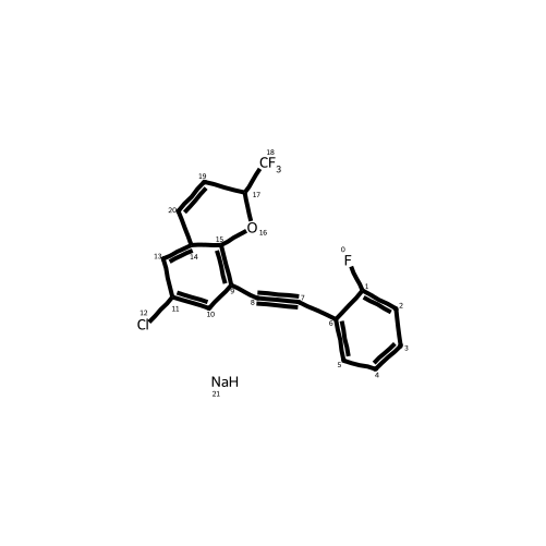 Fc1ccccc1C#Cc1cc(Cl)cc2c1OC(C(F)(F)F)C=C2.[NaH]